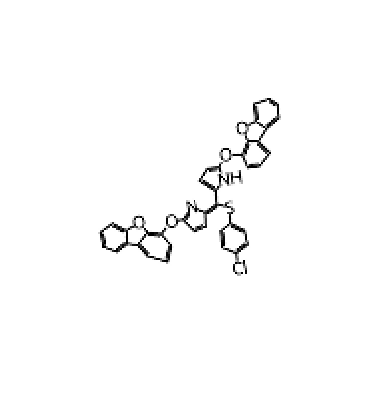 Clc1ccc(S/C(=C2\C=CC(Oc3cccc4c3oc3ccccc34)=N2)c2ccc(Oc3cccc4c3oc3ccccc34)[nH]2)cc1